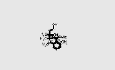 C=C(OC)c1c(C)cccc1[N+](=C)C(C)(C)C(C)(C)CCO